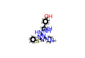 CN1CCN(c2nc(NC3C=C(c4ccc(O)cc4)NN3)nc(Sc3ccccc3)n2)CC1